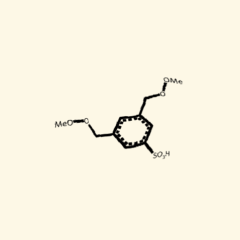 COOCc1cc(COOC)cc(S(=O)(=O)O)c1